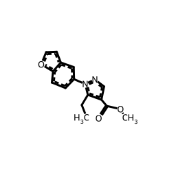 CCc1c(C(=O)OC)cnn1-c1ccc2occc2c1